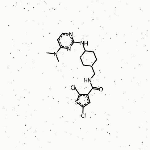 CN(C)c1ccnc(NC2CCC(CNC(=O)c3cc(Cl)sc3Cl)CC2)n1